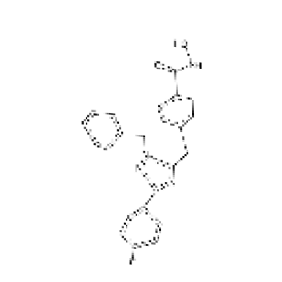 O=C(NO)c1ccc(Cc2nc(-c3ccc(Cl)cc3)nn2Cc2ccccc2)cc1